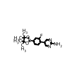 CC1(C)OB(c2ccc(-c3cnc(N)nc3)c(F)c2)OC1(C)C